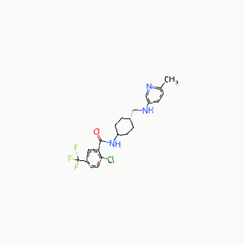 Cc1ccc(NC[C@H]2CC[C@H](NC(=O)c3cc(C(F)(F)F)ccc3Cl)CC2)cn1